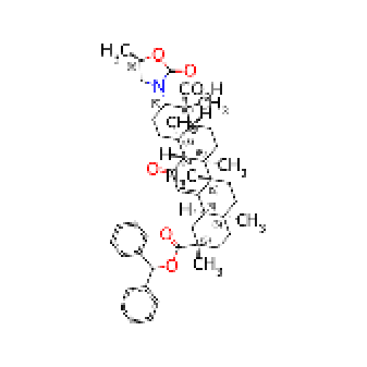 C[C@@H]1CN([C@H]2CC[C@@]3(C)[C@@H](CC[C@]4(C)[C@@H]3C(=O)C=C3[C@@H]5C[C@@](C)(C(=O)OC(c6ccccc6)c6ccccc6)CC[C@]5(C)CC[C@]34C)[C@]2(C)C(=O)O)C(=O)O1